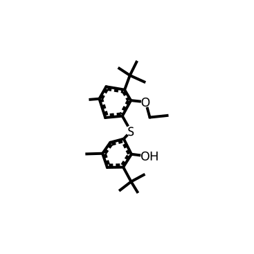 CCOc1c(Sc2cc(C)cc(C(C)(C)C)c2O)cc(C)cc1C(C)(C)C